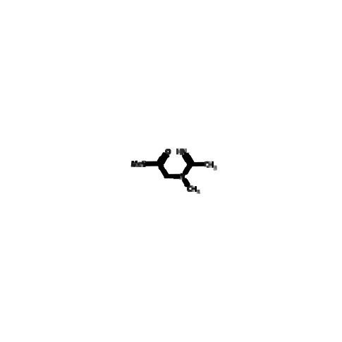 CSC(=O)CN(C)C(C)=N